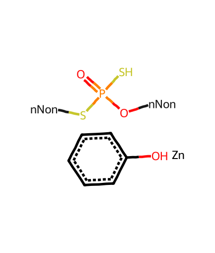 CCCCCCCCCOP(=O)(S)SCCCCCCCCC.Oc1ccccc1.[Zn]